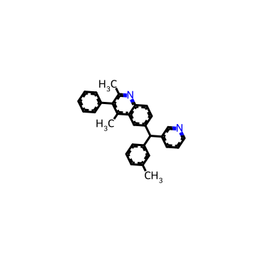 Cc1cccc(C(c2cccnc2)c2ccc3nc(C)c(-c4ccccc4)c(C)c3c2)c1